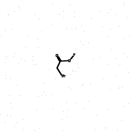 CC(C)CC(=O)OF